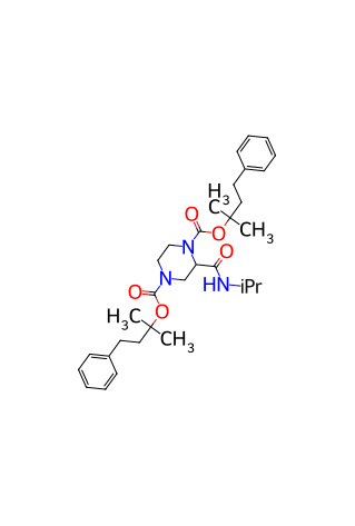 CC(C)NC(=O)C1CN(C(=O)OC(C)(C)CCc2ccccc2)CCN1C(=O)OC(C)(C)CCc1ccccc1